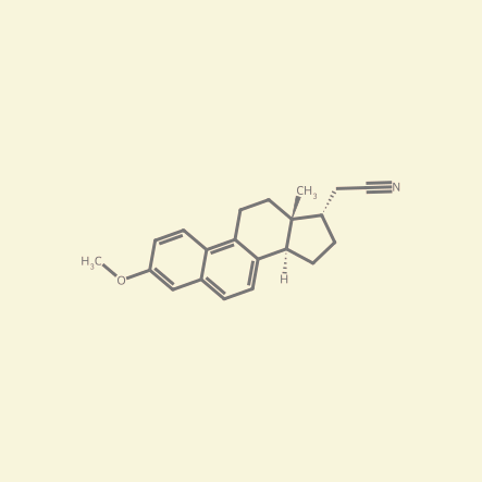 COc1ccc2c3c(ccc2c1)[C@@H]1CC[C@@H](CC#N)[C@@]1(C)CC3